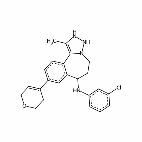 CC1=C2c3ccc(C4=CCOCC4)cc3C(Nc3cccc(Cl)c3)CCN2NN1